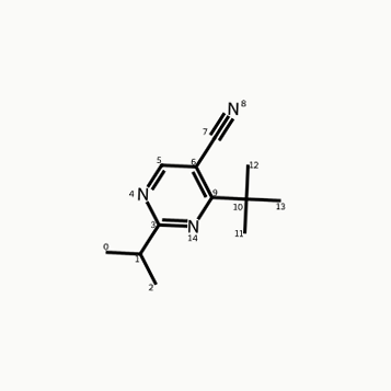 CC(C)c1ncc(C#N)c(C(C)(C)C)n1